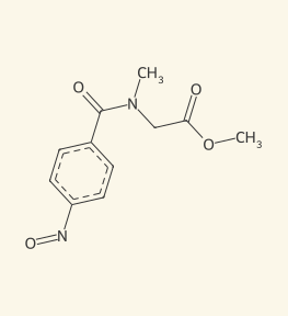 COC(=O)CN(C)C(=O)c1ccc(N=O)cc1